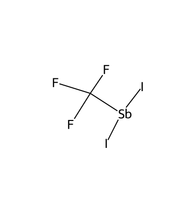 F[C](F)(F)[Sb]([I])[I]